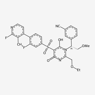 CCOCc1nc(=O)c(S(=O)(=O)c2ccc(-c3ccnc(F)c3C)c(F)c2)c(O)n1[C@@H](COC)c1cccc(C#N)c1